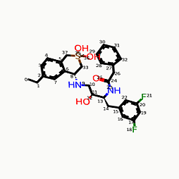 CCc1ccc2c(c1)[C@@H](NC[C@H](O)[C@H](Cc1cc(F)cc(F)c1)NC(=O)Cc1ccccc1)CS(O)(O)C2